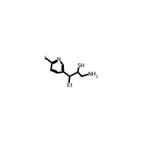 CCC(c1ccc(I)nc1)C(S)CN